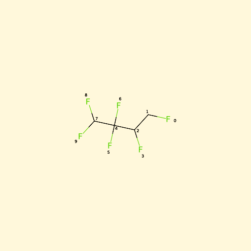 FCC(F)C(F)(F)C(F)F